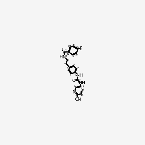 C[C@H](NCCc1ccc(NC(=O)Nc2cnc(C#N)cn2)cc1)c1ccc(F)cc1